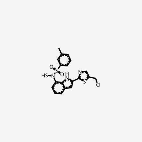 Cc1cccc(S(=O)(=O)N(S)c2cccc3cc(-c4ncc(CCl)s4)[nH]c23)c1